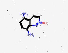 Nc1ccc(N)c2n[n+]([O-])ccc12